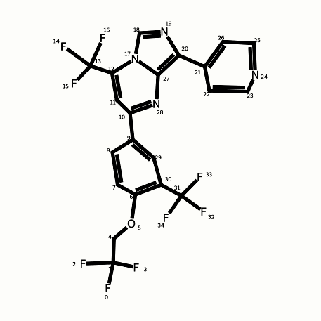 FC(F)(F)COc1ccc(-c2cc(C(F)(F)F)n3cnc(-c4ccncc4)c3n2)cc1C(F)(F)F